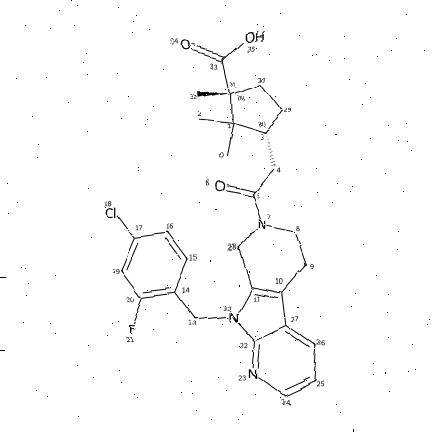 CC1(C)[C@@H](CC(=O)N2CCc3c(n(Cc4ccc(Cl)cc4F)c4ncccc34)C2)CC[C@@]1(C)C(=O)O